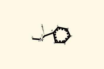 C[N][C@H](C)c1ccccc1